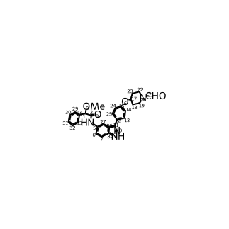 COC(C(=O)Nc1ccc2[nH]nc(-c3ccc(OC4CCN(C=O)CC4)cc3)c2c1)c1ccccc1